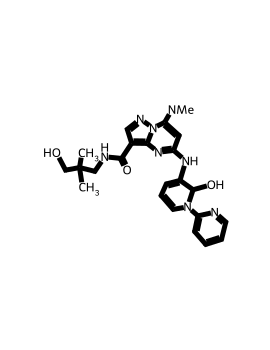 CNc1cc(NC2=CC=CN(c3ccccn3)C2O)nc2c(C(=O)NCC(C)(C)CO)cnn12